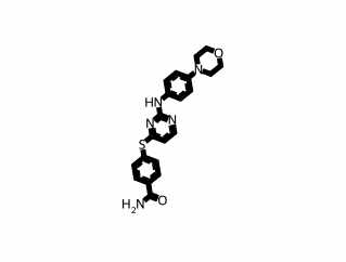 NC(=O)c1ccc(Sc2ccnc(Nc3ccc(N4CCOCC4)cc3)n2)cc1